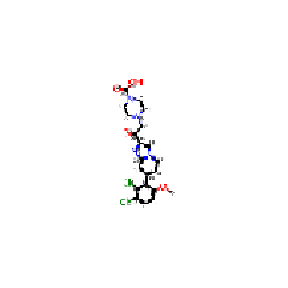 COc1ccc(Cl)c(Cl)c1-c1ccn2cc(C(=O)CN3CCN(C(=O)O)CC3)nc2c1